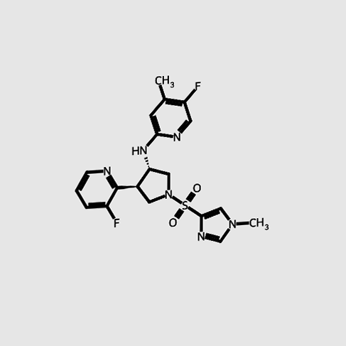 Cc1cc(N[C@@H]2CN(S(=O)(=O)c3cn(C)cn3)C[C@H]2c2ncccc2F)ncc1F